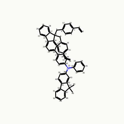 C=Cc1ccc(CC2(Cc3ccc(C=C)cc3)c3ccccc3-c3ccc(-c4ccc(N(c5ccccc5)c5ccc6c(c5)C(C)(C)c5ccccc5-6)cc4)cc32)cc1